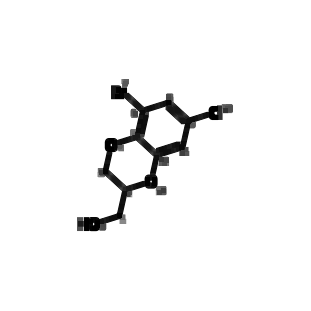 OCC1COc2c(Br)cc(Cl)cc2O1